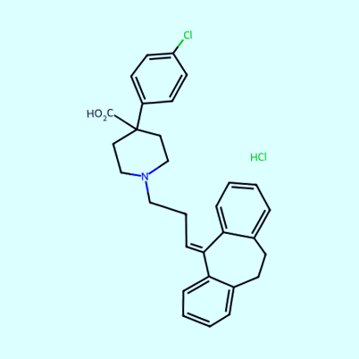 Cl.O=C(O)C1(c2ccc(Cl)cc2)CCN(CCC=C2c3ccccc3CCc3ccccc32)CC1